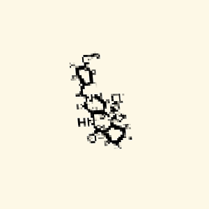 COc1ccc(C[n+]2ccc3c(c2)NC(=O)c2ccccc2S3(=O)=O)cc1.[Cl-]